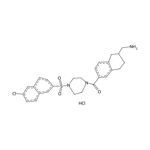 Cl.NCC1CCc2cc(C(=O)N3CCN(S(=O)(=O)c4ccc5cc(Cl)ccc5c4)CC3)ccc2C1